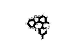 Cc1ccc(-c2c(C)ccc3oc4cccc(C#N)c4c23)[n+](C)c1